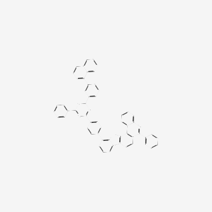 c1ccc(C2=NC(c3ccc(-c4cccc5c4oc4c5ccc5c(-c6ccccc6)nc6ccccc6c54)cc3)=NC(c3cccc(-c4cccc5ccccc45)c3)N2)cc1